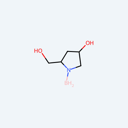 BN1CC(O)CC1CO